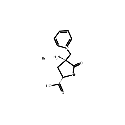 N[C@@]1(C[n+]2ccccc2)C[C@@H](C(=O)O)NC1=O.[Br-]